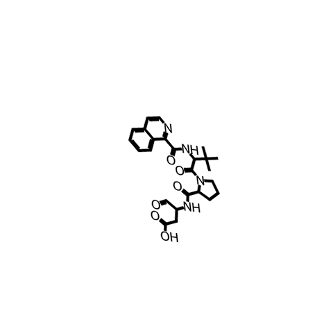 CC(C)(C)C(NC(=O)c1nccc2ccccc12)C(=O)N1CCCC1C(=O)NC(C=O)CC(=O)O